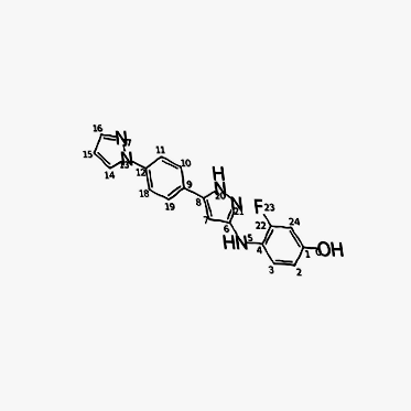 Oc1ccc(Nc2cc(-c3ccc(-n4cccn4)cc3)[nH]n2)c(F)c1